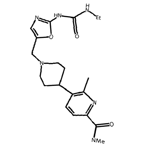 CCNC(=O)Nc1ncc(CN2CCC(c3ccc(C(=O)NC)nc3C)CC2)o1